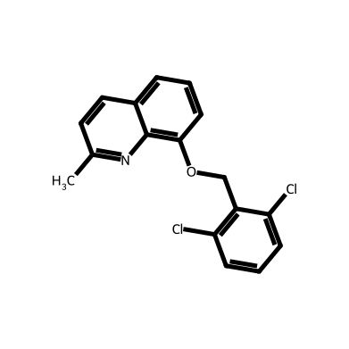 Cc1ccc2cccc(OCc3c(Cl)cccc3Cl)c2n1